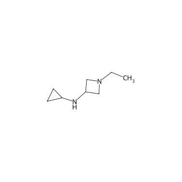 CCN1CC(NC2CC2)C1